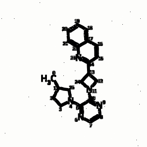 CC1CCN(c2nccnc2N2CC(c3ccc4ccccc4n3)C2)C1